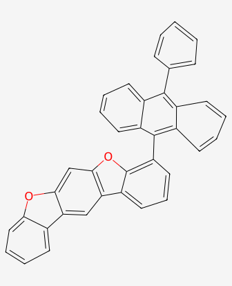 c1ccc(-c2c3ccccc3c(-c3cccc4c3oc3cc5oc6ccccc6c5cc34)c3ccccc23)cc1